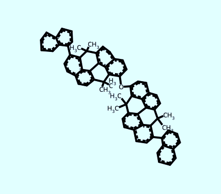 CC1(C)c2ccc3ccc(-c4cccc5ccccc45)c4c3c2-c2c(ccc3ccc(Oc5ccc6ccc7c8c6c5C(C)(C)c5ccc6ccc(-c9cccc%10ccccc9%10)c(c6c5-8)C7(C)C)c1c23)C4(C)C